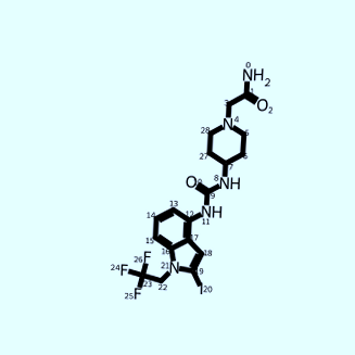 NC(=O)CN1CCC(NC(=O)Nc2cccc3c2cc(I)n3CC(F)(F)F)CC1